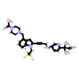 CC(=O)N1CCN(Cc2cccc3c2cc(C#CCNc2ccc(C(C)(C)C#N)nc2)n3CC(F)(F)F)CC1